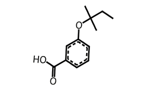 CCC(C)(C)Oc1cccc(C(=O)O)c1